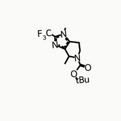 CC1c2nc(C(F)(F)F)n(C)c2CCN1C(=O)OC(C)(C)C